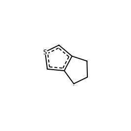 [CH]1CCc2cscc21